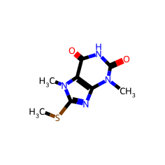 CSc1nc2c(c(=O)[nH]c(=O)n2C)n1C